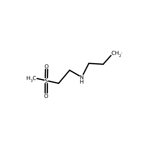 [CH2]CCNCCS(C)(=O)=O